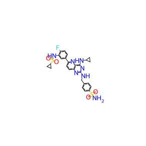 NS(=O)(=O)c1ccc(CNc2nc(NC3CC3)c3nc(-c4ccc(F)c(NS(=O)(=O)C5CC5)c4)ccc3n2)cc1